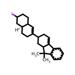 CC1(C)c2ccccc2C2=CCC(C3=CC4CCC(I)C[C@@H]4CC3)CC21